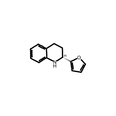 c1coc([C@H]2CCc3ccccc3N2)c1